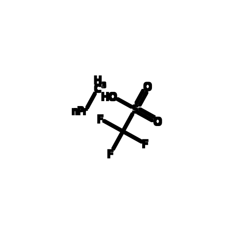 CCCC.O=S(=O)(O)C(F)(F)F